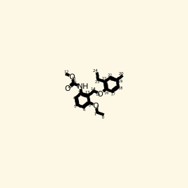 CCOc1cccc(NC(=O)OC)c1COc1ccc(C)cc1CC